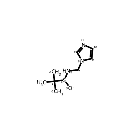 CC(C)(C)[S+]([O-])NCn1ccnc1